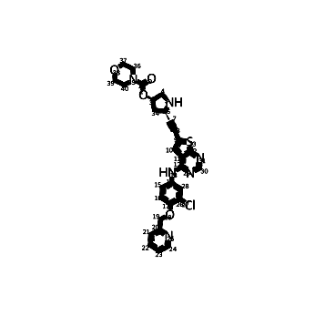 O=C(O[C@H]1CN[C@H](C#Cc2cc3c(Nc4ccc(OCc5ccccn5)c(Cl)c4)ncnc3s2)C1)N1CCOCC1